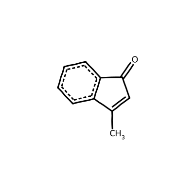 CC1=CC(=O)c2ccccc21